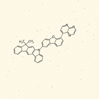 CC1(C)c2ccccc2-c2cc3c4ccccc4n(-c4ccc5oc6c(-c7ccnc8nccnc78)cccc6c5c4)c3cc21